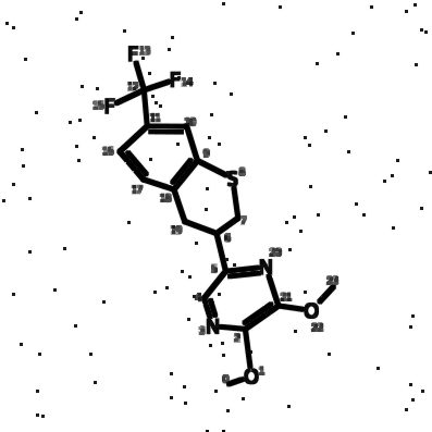 COc1ncc(C2CSc3cc(C(F)(F)F)ccc3C2)nc1OC